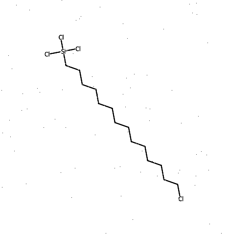 ClCCCCCCCCCCCCCC[Si](Cl)(Cl)Cl